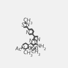 CC(=O)N1CC[C@@H](c2nc3c(-c4ccc(-c5csc(C)n5)nc4)cnn3c(N)c2S(C)(=O)=O)C[C@@H]1C